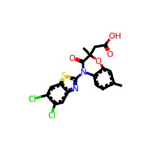 Cc1ccc2c(c1)OC(C)(CC(=O)O)C(=O)N2c1nc2cc(Cl)c(Cl)cc2s1